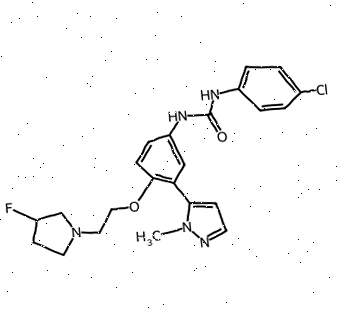 Cn1nccc1-c1cc(NC(=O)Nc2ccc(Cl)cc2)ccc1OCCN1CCC(F)C1